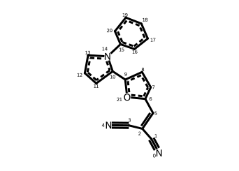 N#CC(C#N)=Cc1ccc(-c2cccn2-c2ccccc2)o1